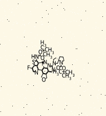 CC(C)(C)OC(=O)Nc1sc2c(F)cnc(-c3c4c(c5cnc(N6CC[C@@]7(CCCN7C(=O)OC(C)(C)C)C6)nc5c3F)COC4)c2c1C#N